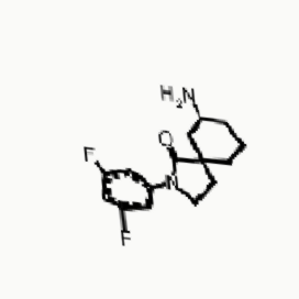 N[C@H]1CCCC2(CCN(c3cc(F)cc(F)c3)C2=O)C1